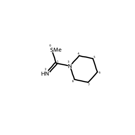 CSC(=N)N1CCCCC1